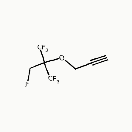 C#CCOC(CF)(C(F)(F)F)C(F)(F)F